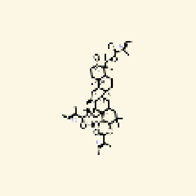 C=CCC1[C@@]2(C)CC[C@H](O)[C@](C)(COC(=O)/C(C)=C/C)C2CC[C@@]1(C)[C@@]1(C)CC2CC(C)(C)[C@@H](OC(=O)/C(C)=C/C)[C@H](O)[C@]2(COC(=O)/C(C)=C/C)[C@H](O)C1